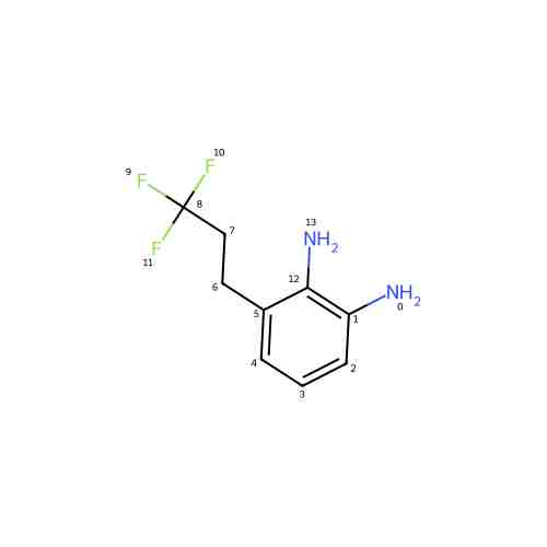 Nc1cccc(CCC(F)(F)F)c1N